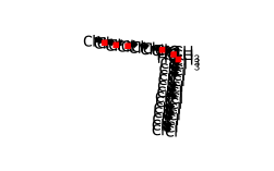 CO.CO.CO.ClCCl.ClCCl.ClCCl.ClCCl.ClCCl.ClCCl.ClCCl.ClCCl.ClCCl.ClCCl.ClCCl.ClCCl.ClCCl.ClCCl.ClCCl.ClCCl.ClCCl.ClCCl.ClCCl.ClCCl